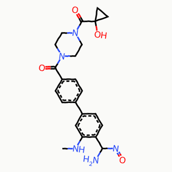 CNc1cc(-c2ccc(C(=O)N3CCN(C(=O)C4(O)CC4)CC3)cc2)ccc1C(N)N=O